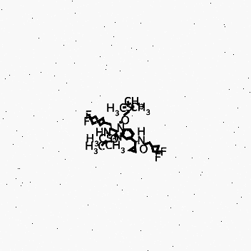 CC(C)(C)[S@@+]([O-])N[C@@H](CC1CC2(C1)CC(F)(F)C2)c1nc2cc([C@H](NC(=O)CC3CC(F)(F)C3)C3CC3)ccc2n1COCC[Si](C)(C)C